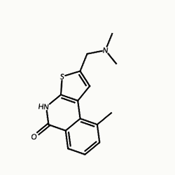 Cc1cccc2c(=O)[nH]c3sc(CN(C)C)cc3c12